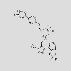 O=c1cc(-c2ccc(CC[C@@H]3C[C@H](OCc4c(-c5ccccc5OC(F)(F)F)noc4C4CC4)C[C@@H]4CCC34)nc2)o[nH]1